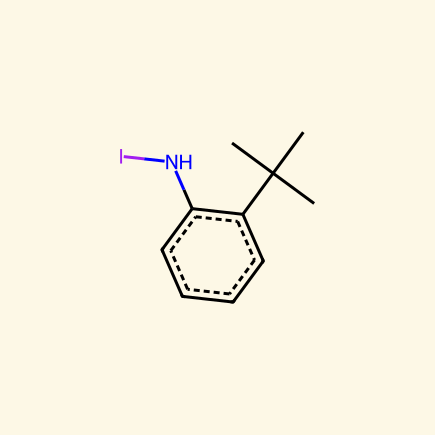 CC(C)(C)c1ccccc1NI